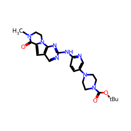 CN1CCn2c(cc3cnc(Nc4ccc(N5CCN(C(=O)OC(C)(C)C)CC5)cn4)nc32)C1=O